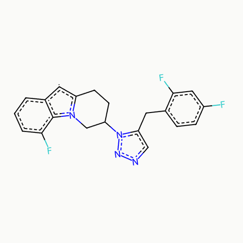 Fc1ccc(Cc2cnnn2C2CCc3[c]c4cccc(F)c4n3C2)c(F)c1